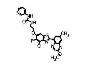 COc1cnc2c(-c3nc4c(Cl)c(F)c(OCCNC(=O)Nc5cccnc5)cc4s3)cc(C)cc2n1